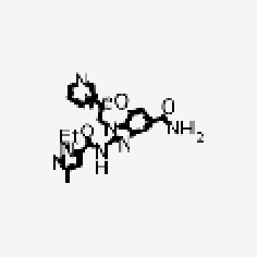 CCn1nc(C)cc1C(=O)Nc1nc2cc(C(N)=O)cc(OC)c2n1CCc1cccnc1